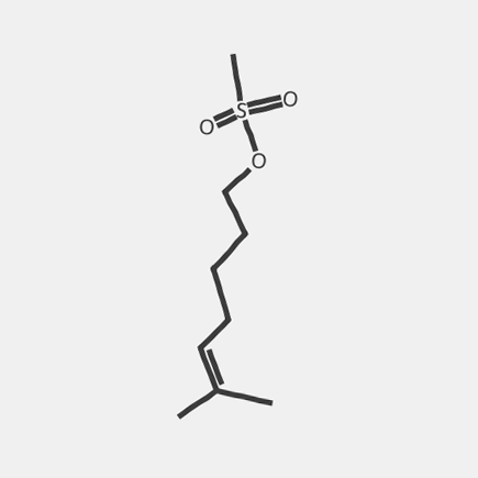 CC(C)=CCCCCOS(C)(=O)=O